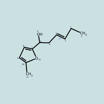 CC/C=C/CC(O)c1ccc(C)o1